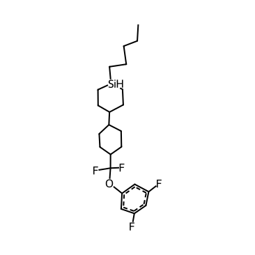 CCCCC[SiH]1CCC(C2CCC(C(F)(F)Oc3cc(F)cc(F)c3)CC2)CC1